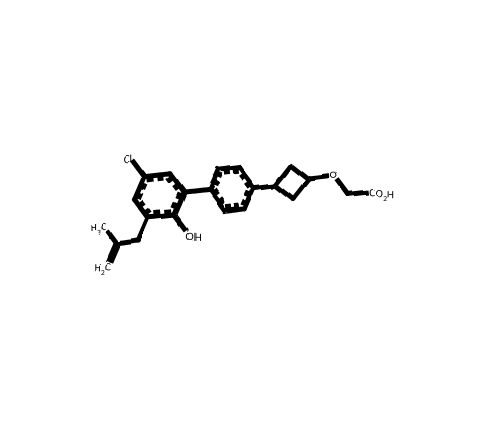 C=C(C)Cc1cc(Cl)cc(-c2ccc(C3CC(OCC(=O)O)C3)cc2)c1O